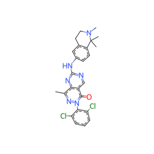 Cc1nn(-c2c(Cl)cccc2Cl)c(=O)c2cnc(Nc3ccc4c(c3)CCN(C)C4(C)C)nc12